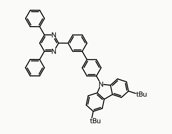 CC(C)(C)c1ccc2c(c1)c1cc(C(C)(C)C)ccc1n2-c1ccc(-c2cccc(-c3nc(-c4ccccc4)cc(-c4ccccc4)n3)c2)cc1